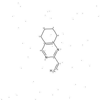 C=Cc1ncc2c(n1)CCCC2